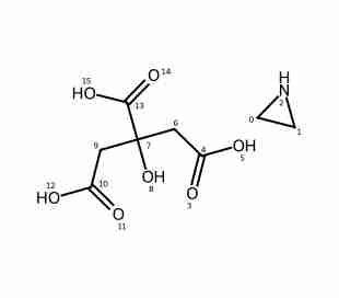 C1CN1.O=C(O)CC(O)(CC(=O)O)C(=O)O